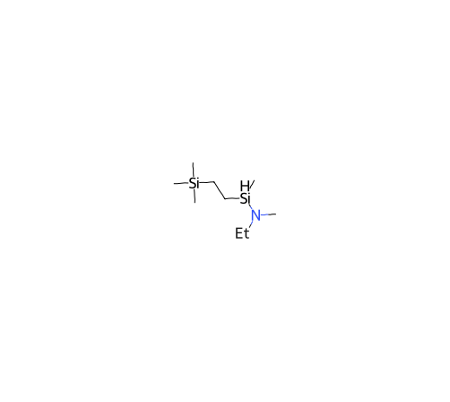 CCN(C)[SiH](C)CC[Si](C)(C)C